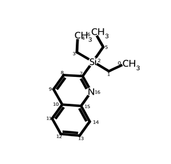 CC[Si](CC)(CC)c1ccc2ccccc2n1